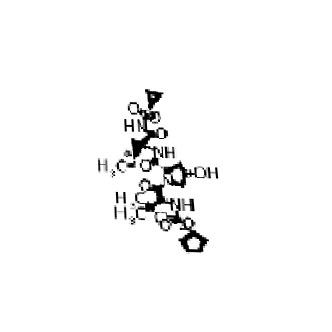 CC[C@@H]1C[C@]1(NC(=O)[C@@H]1C[C@@H](O)CN1C(=O)[C@@H](NC(=O)OC1CCCC1)C(C)(C)C)C(=O)NS(=O)(=O)C1CC1